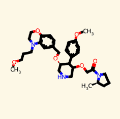 COCCCN1CCOc2ccc(CO[C@H]3CNCC(OCC(=O)N4CCC[C@H]4C)C3c3ccc(OC)cc3)cc21